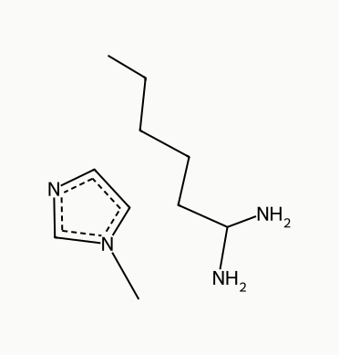 CCCCCC(N)N.Cn1ccnc1